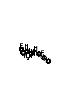 Nc1nc(Nc2ccc(N3CCN(C4CCCCC4)CC3)c(F)c2)nn1C1=NNC2=c3cc(F)ccc3=CC=CC2=C1